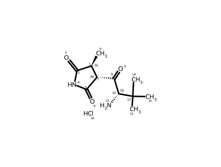 C[C@@H]1C(=O)NC(=O)[C@H]1C(=O)[C@@H](N)C(C)(C)C.Cl